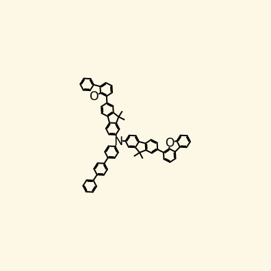 CC1(C)c2cc(-c3cccc4c3oc3ccccc34)ccc2-c2ccc(N(c3ccc(-c4ccc(-c5ccccc5)cc4)cc3)c3ccc4c(c3)C(C)(C)c3cc(-c5cccc6c5oc5ccccc56)ccc3-4)cc21